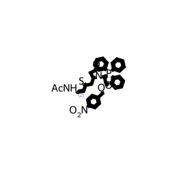 CC(=O)N/C=C\C(=S)CC1CC(=O)N1C(C(=O)OCc1ccc([N+](=O)[O-])cc1)=P(c1ccccc1)(c1ccccc1)c1ccccc1